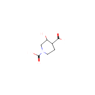 O=C(O)C1CCN(C(=O)O)CC1O